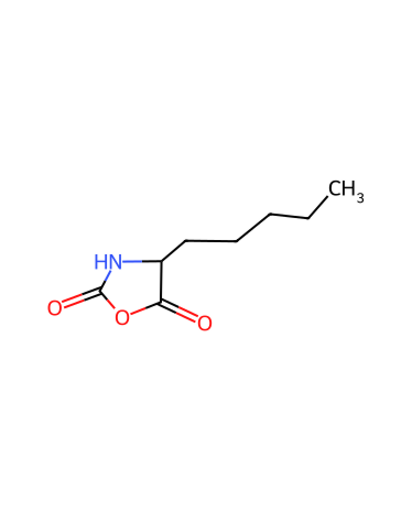 CCCCCC1NC(=O)OC1=O